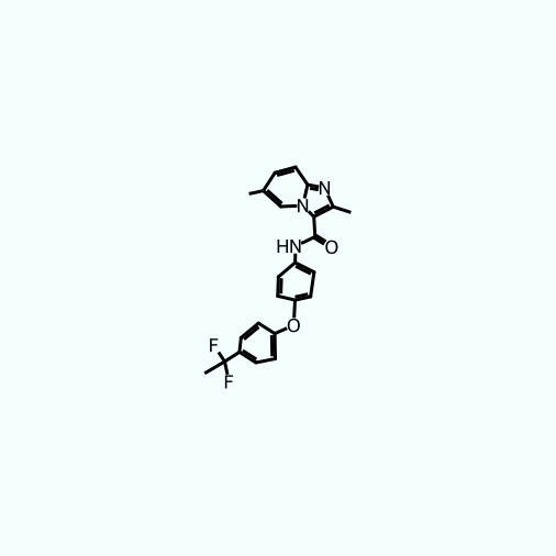 Cc1ccc2nc(C)c(C(=O)Nc3ccc(Oc4ccc(C(C)(F)F)cc4)cc3)n2c1